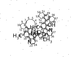 C=C1CCCCC/C=C2/CCCC/C2=C/1c1cc(C)cc(-c2ncccc2O[C@@H](C)CC(C)Oc2cccnc2-c2cc(C)cc(-c3c4c(cc5c3CCCC5)CCCC4)c2O)c1O